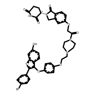 O=C1CC[C@H](N2Cc3cc(OCC(=O)N4CCN(CCOc5ccc(Oc6c(-c7ccc(Br)cc7)sc7cc(O)ccc67)cc5)CC4)ccc3C2=O)C(=O)N1